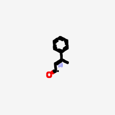 C/C(=C\[C]=O)c1ccccc1